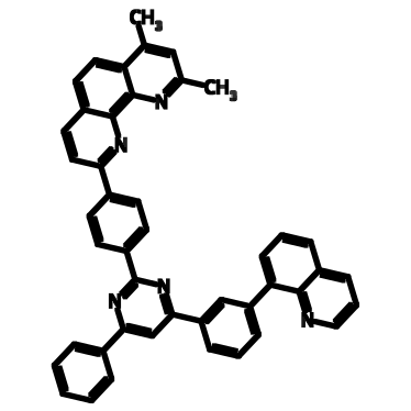 Cc1cc(C)c2ccc3ccc(-c4ccc(-c5nc(-c6ccccc6)cc(-c6cccc(-c7cccc8cccnc78)c6)n5)cc4)nc3c2n1